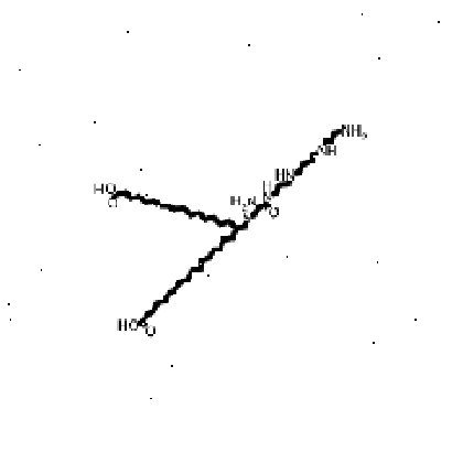 NCCCNCCCCNCCCNC(=O)[C@@H](N)CSCC(CCCCCCCCCCCCCCCCC(=O)O)CCCCCCCCCCCCCCCC(=O)O